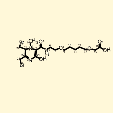 CN1C(C(=O)NCCOCCCCCOCC(=O)O)=C(O)N=C(CBr)C1CBr